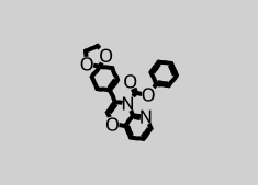 O=C(Oc1ccccc1)N1C(C2=CCC3(CC2)OCCO3)=COc2cccnc21